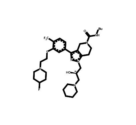 CCC(C)NC(=O)N1CCc2c(c(-c3ccc(C(F)(F)F)c(SCCN4CCC(F)CC4)c3)nn2C[C@H](O)CN2CCCCC2)C1